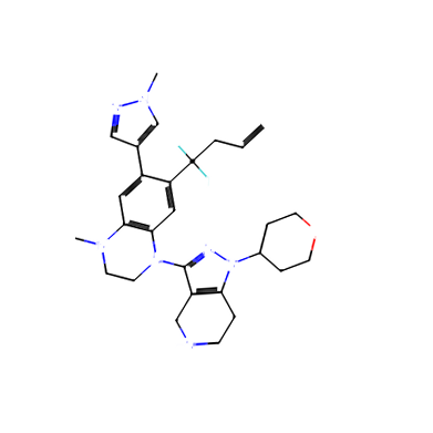 C=CCC(F)(F)c1cc2c(cc1-c1cnn(C)c1)N(C)CCN2c1nn(C2CCOCC2)c2c1CNCC2